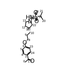 CC(=O)c1ccc(OCCC[C@@H]2CCN(NS(=O)(=O)C(C)C)C2)cc1